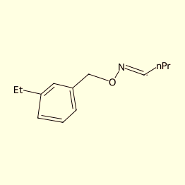 CCC/[C]=N/OCc1cccc(CC)c1